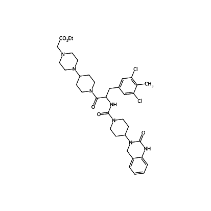 CCOC(=O)CN1CCN(C2CCN(C(=O)C(Cc3cc(Cl)c(C)c(Cl)c3)NC(=O)N3CCC(N4Cc5ccccc5NC4=O)CC3)CC2)CC1